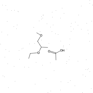 CC(=O)O.CCOC(C)COC